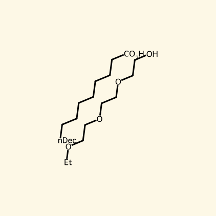 CCCCCCCCCCCCCCCCCC(=O)O.CCOCCOCCOCCO